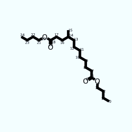 CCCCOC(=O)CCCCCCCC(C)CCC(=O)OCCCC